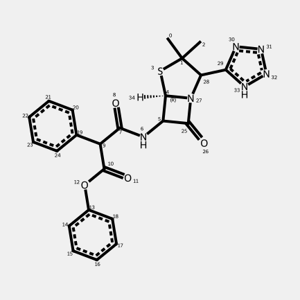 CC1(C)S[C@@H]2C(NC(=O)C(C(=O)Oc3ccccc3)c3ccccc3)C(=O)N2C1c1nnn[nH]1